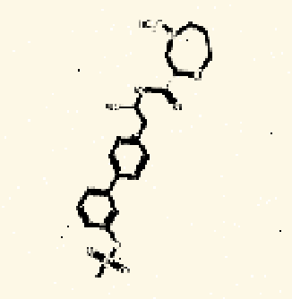 CS(=O)(=O)Oc1cccc(-c2ccc(C[C@@H](C#N)NC(=O)[C@@H]3CN(C(=O)O)CCCO3)cc2)c1